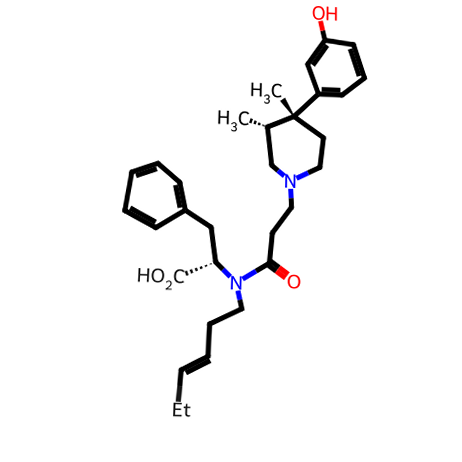 CCC=CCCN(C(=O)CCN1CC[C@@](C)(c2cccc(O)c2)[C@@H](C)C1)[C@@H](Cc1ccccc1)C(=O)O